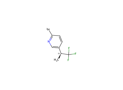 [2H]c1ccc([C@H](C)C(F)(F)F)cn1